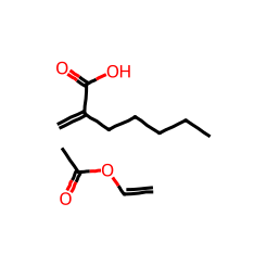 C=C(CCCCC)C(=O)O.C=COC(C)=O